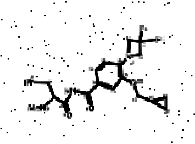 CN[C@@H](CC(C)C)C(=O)NC(=O)c1ccc(N2CC(F)(F)C2)c(OCC2CC2)c1